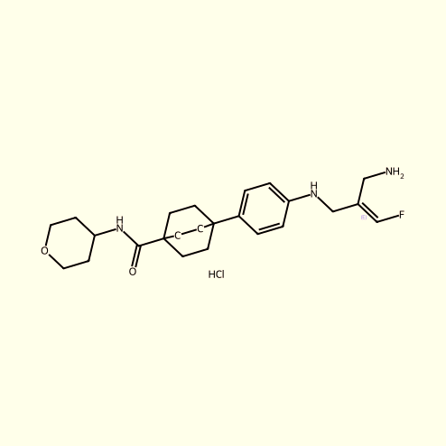 Cl.NC/C(=C\F)CNc1ccc(C23CCC(C(=O)NC4CCOCC4)(CC2)CC3)cc1